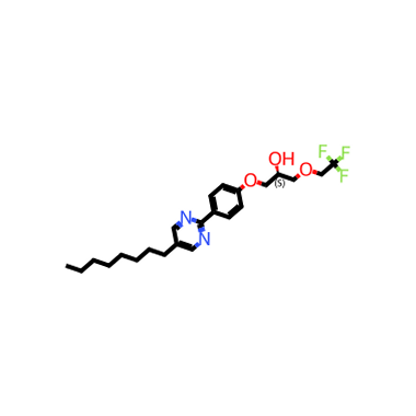 CCCCCCCCc1cnc(-c2ccc(OC[C@@H](O)COCC(F)(F)F)cc2)nc1